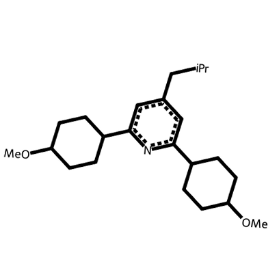 COC1CCC(c2cc(CC(C)C)cc(C3CCC(OC)CC3)n2)CC1